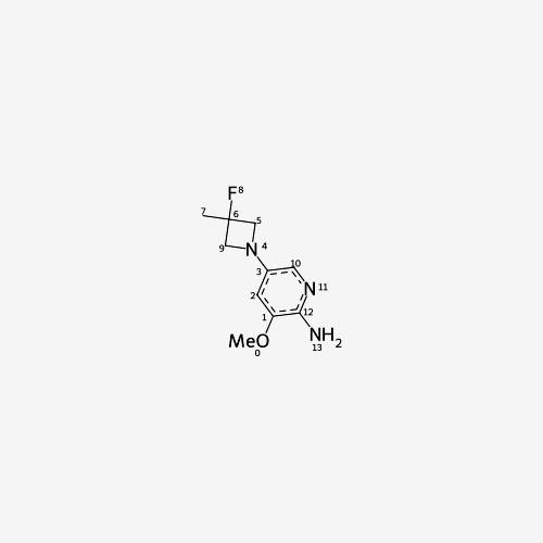 COc1cc(N2CC(C)(F)C2)cnc1N